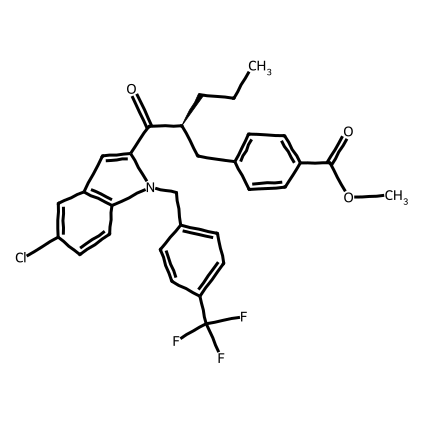 CCC[C@@H](Cc1ccc(C(=O)OC)cc1)C(=O)c1cc2cc(Cl)ccc2n1Cc1ccc(C(F)(F)F)cc1